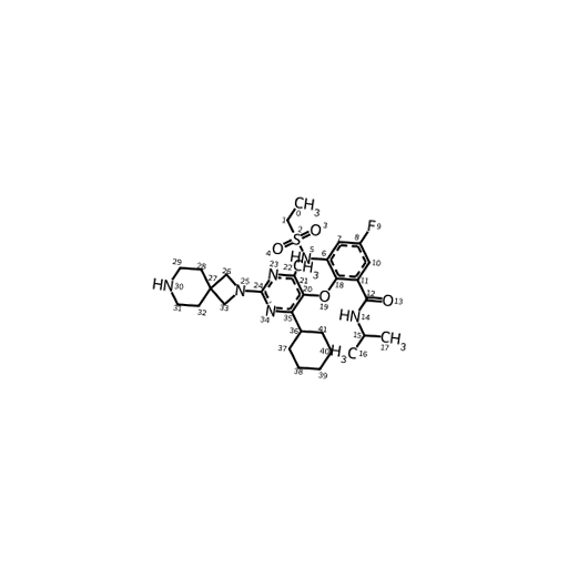 CCS(=O)(=O)Nc1cc(F)cc(C(=O)NC(C)C)c1Oc1c(C)nc(N2CC3(CCNCC3)C2)nc1C1CCCCC1